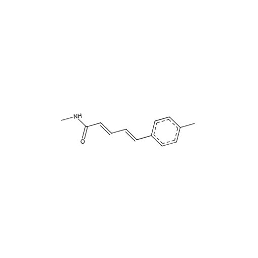 CNC(=O)/C=C/C=C/c1ccc(C)cc1